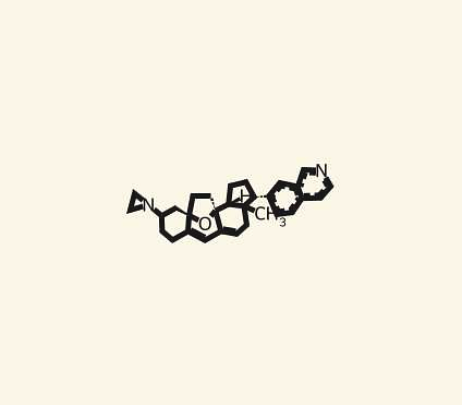 CC12CC=C3C=C4CCC(N5CC5)C[C@]45CC[C@]3(O5)[C@@H]1CC[C@@H]2c1ccc2ccncc2c1